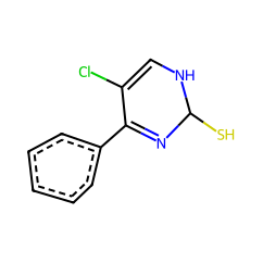 SC1N=C(c2ccccc2)C(Cl)=CN1